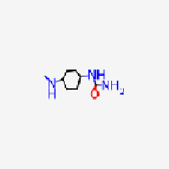 CNC1CCC(NC(N)=O)CC1